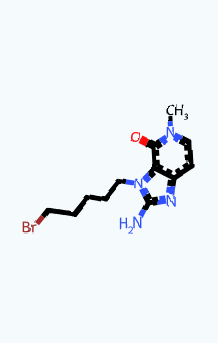 Cn1ccc2nc(N)n(CCCCCBr)c2c1=O